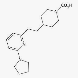 O=C(O)N1CCC(CCc2cccc(N3CCCC3)n2)CC1